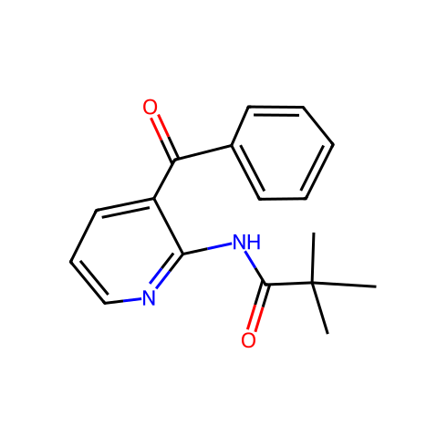 CC(C)(C)C(=O)Nc1ncccc1C(=O)c1ccccc1